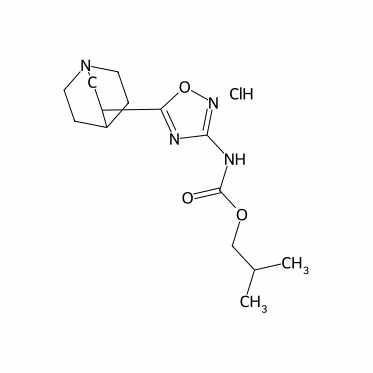 CC(C)COC(=O)Nc1noc(C2CN3CCC2CC3)n1.Cl